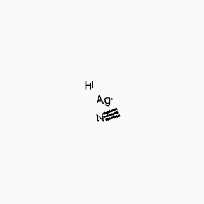 C#N.I.[Ag]